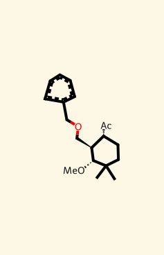 CO[C@@H]1[C@@H](COCc2ccccc2)[C@H](C(C)=O)CCC1(C)C